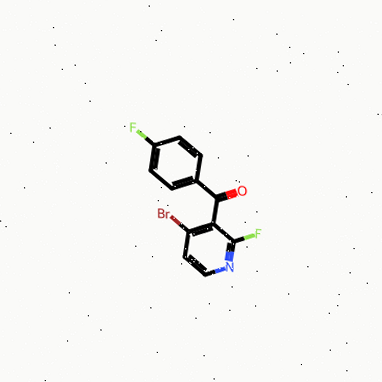 O=C(c1ccc(F)cc1)c1c(Br)ccnc1F